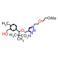 COCCOCCn1cc(COC(c2ccc(C)c(CO)c2)C(C)(C)C(=O)O)nn1